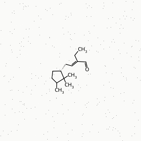 CC/C(C=O)=C\C[C@H]1CCC(C)C1(C)C